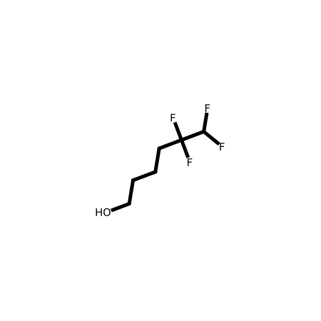 OCCCCC(F)(F)C(F)F